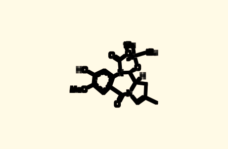 COc1cc2c(cc1O)N(C(=O)OC(C)(C)C)[C@@H](O[Si](C)(C)C(C)(C)C)[C@@H]1CC(C)=CN1C2=O